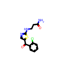 NC(=O)CCNc1ncc(C(=O)c2ccccc2Cl)s1